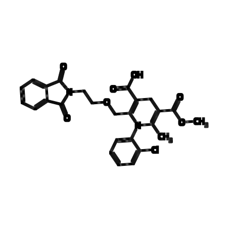 COC(=O)C1=C(C)N(c2ccccc2Cl)C(COCCN2C(=O)c3ccccc3C2=O)=C(C(=O)O)C1